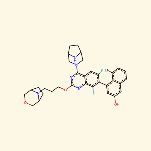 CCc1cccc2cc(O)cc(-c3c(F)cc4c(N5CC6CCC(C5)N6)nc(OCCCN5C6CCC5COC6)nc4c3F)c12